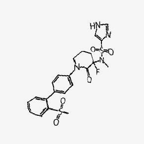 CN(C1(F)CCCN(c2ccc(-c3ccccc3S(C)(=O)=O)cc2)C1=O)S(=O)(=O)c1c[nH]cn1